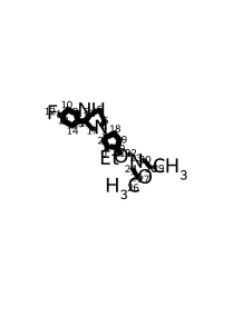 CCc1cc(N2CCc3[nH]c4cc(F)ccc4c3C2)ccc1OCN1C[C@@H](C)O[C@@H](C)C1